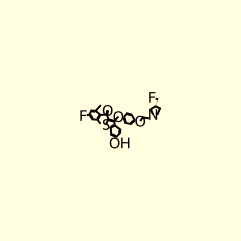 Cc1cc(F)cc(C)c1C(=O)c1sc2cc(O)ccc2c1Oc1ccc(OCCN2CC[C@@H](CF)C2)cc1